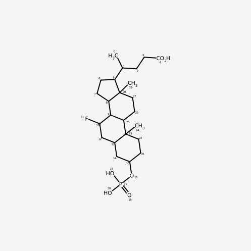 CC(CCC(=O)O)C1CCC2C3C(F)CC4CC(OP(=O)(O)O)CCC4(C)C3CCC12C